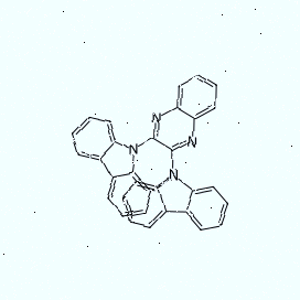 c1ccc2nc(-n3c4ccccc4c4ccccc43)c(-n3c4ccccc4c4ccccc43)nc2c1